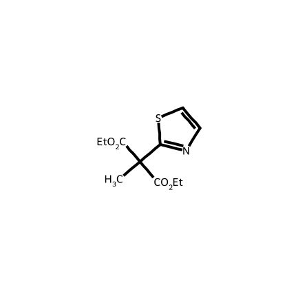 CCOC(=O)C(C)(C(=O)OCC)c1nccs1